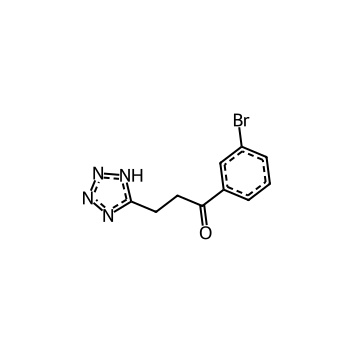 O=C(CCc1nnn[nH]1)c1cccc(Br)c1